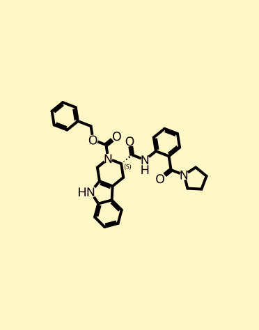 O=C(Nc1ccccc1C(=O)N1CCCC1)[C@@H]1Cc2c([nH]c3ccccc23)CN1C(=O)OCc1ccccc1